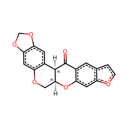 O=C1c2cc3ccoc3cc2O[C@H]2COc3cc4c(cc3[C@@H]12)OCO4